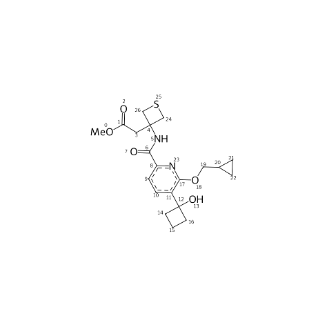 COC(=O)CC1(NC(=O)c2ccc(C3(O)CCC3)c(OCC3CC3)n2)CSC1